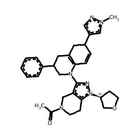 CC(=O)N1CCc2c(c(N3CC(c4ccccc4)CC4=C3C=CC(c3cnn(C)c3)C4)nn2[C@H]2CCOC2)C1